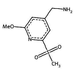 COc1cc(CN)cc(S(C)(=O)=O)n1